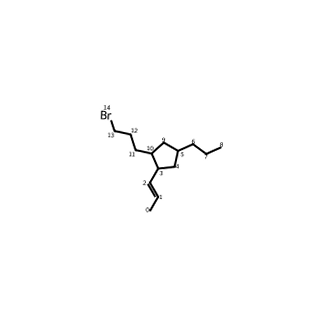 C/C=C/C1CC(CCC)CC1CCCBr